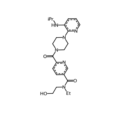 CCN(CCO)C(=O)c1ccc(C(=O)N2CCN(c3ncccc3NC(C)C)CC2)nc1